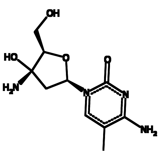 Cc1cn([C@H]2C[C@](N)(O)[C@@H](CO)O2)c(=O)nc1N